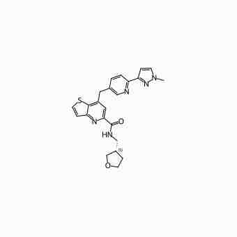 Cn1ccc(-c2ccc(Cc3cc(C(=O)NC[C@@H]4CCOC4)nc4ccsc34)cn2)n1